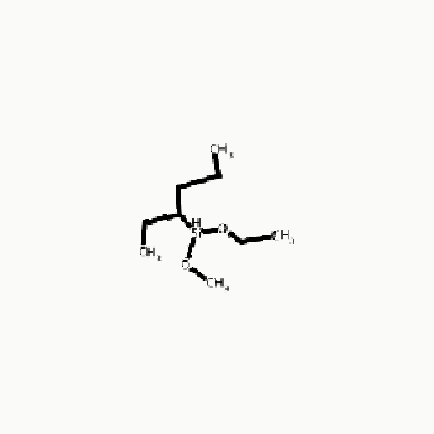 CCCC(CC)[SiH](OC)OCC